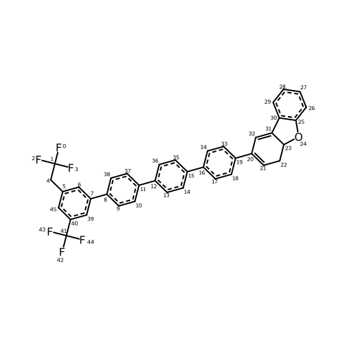 FC(F)(F)Cc1cc(-c2ccc(-c3ccc(-c4ccc(C5=CCC6Oc7ccccc7C6=C5)cc4)cc3)cc2)cc(C(F)(F)F)c1